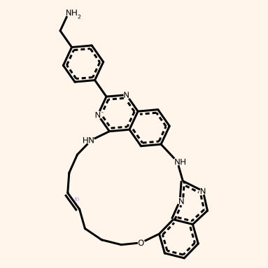 NCc1ccc(-c2nc3c4cc(ccc4n2)Nc2ncc4cccc(c4n2)OCCC/C=C/CCN3)cc1